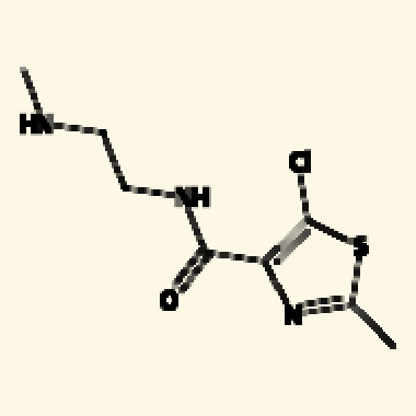 CNCCNC(=O)c1nc(C)sc1Cl